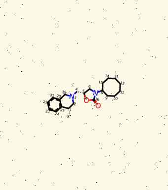 C[C@H]1CN(C[C@@H]2CN(C3CCCCCCC3)C(=O)O2)Cc2ccccc21